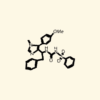 COc1ccc(-c2c(C(Cc3ccccc3)NC(=O)NS(=O)(=O)c3ccccc3)ncn2C)cc1